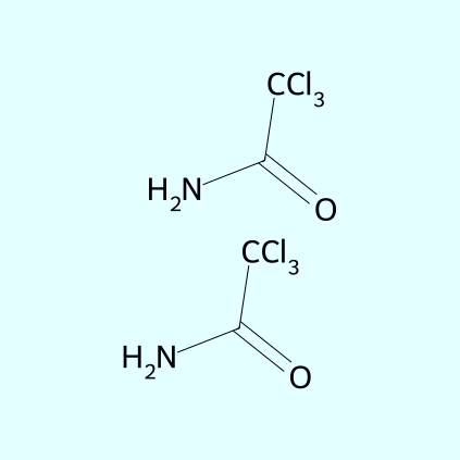 NC(=O)C(Cl)(Cl)Cl.NC(=O)C(Cl)(Cl)Cl